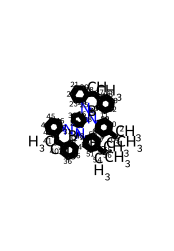 CC(C)(C)c1ccc(N2B3c4ccccc4C(C)(C)C4CC=CC=C4N3C3=C2C2=C(C3)N3B(c4ccccc4C(C)(C)c4ccccc43)N2c2ccc(C(C)(C)C)cc2)cc1